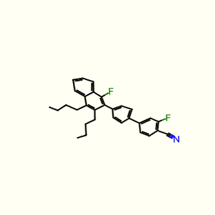 CCCCc1c(-c2ccc(-c3ccc(C#N)c(F)c3)cc2)c(F)c2ccccc2c1CCCC